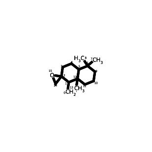 [CH2]C1C2(CCC3C(C)(C)CCCC31C)CO2